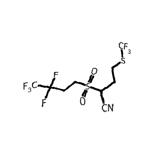 N#CC(CCSC(F)(F)F)S(=O)(=O)CCC(F)(F)C(F)(F)F